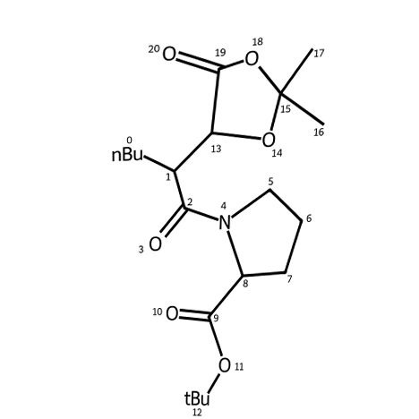 CCCCC(C(=O)N1CCCC1C(=O)OC(C)(C)C)C1OC(C)(C)OC1=O